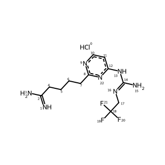 Cl.N=C(N)CCCCc1nccc(NC(N)=NCC(F)(F)F)n1